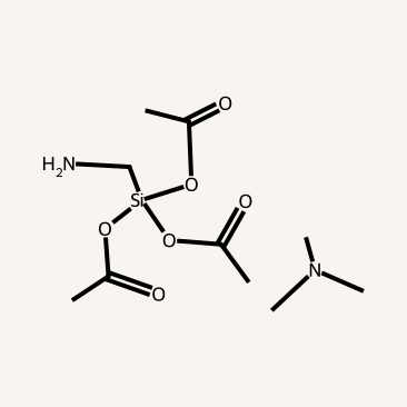 CC(=O)O[Si](CN)(OC(C)=O)OC(C)=O.CN(C)C